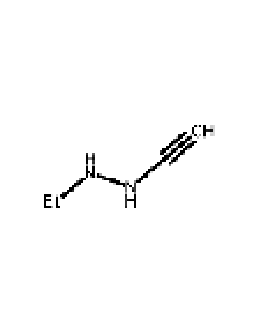 C#CNNCC